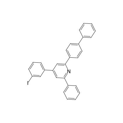 Ic1cccc(-c2cc(-c3ccccc3)nc(-c3ccc(-c4ccccc4)cc3)c2)c1